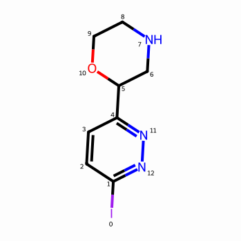 Ic1ccc(C2CNCCO2)nn1